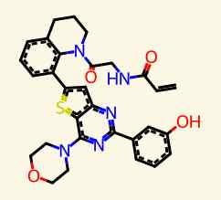 C=CC(=O)NCC(=O)N1CCCc2cccc(-c3cc4nc(-c5cccc(O)c5)nc(N5CCOCC5)c4s3)c21